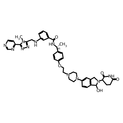 C[C@@H](NC(=O)c1cccc(NCc2nnc(-c3ccncn3)n2C)c1)c1ccc(OCCN2CCN(c3ccc4c(c3)CN(C3CCC(=O)NC3=O)C4O)CC2)cc1